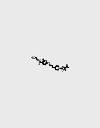 Cc1nc(OCCCC2CCN(c3nc(C(C)C)no3)CC2)ccc1C(=O)NCCO